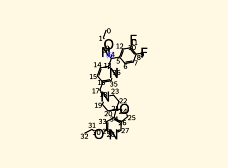 CCO/N=C(\c1ccc(F)c(F)c1)c1ccc(CN2CCC3(CC2)OCc2cnc(OCC)cc23)cn1